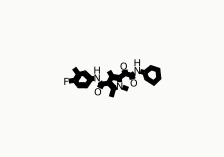 Cc1cc(NC(=O)c2c(C)c(C(=O)C(=O)NC3CCCCC3)n(C)c2C)ccc1F